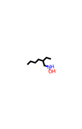 CCCCC(CC)CNO